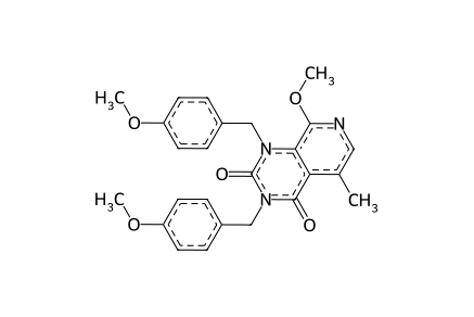 COc1ccc(Cn2c(=O)c3c(C)cnc(OC)c3n(Cc3ccc(OC)cc3)c2=O)cc1